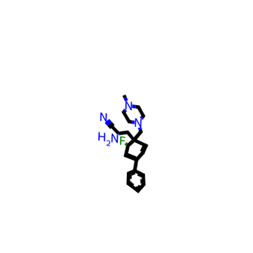 CN1CCN(CC2(CC(N)C#N)C=CC(c3ccccc3)=CC2F)CC1